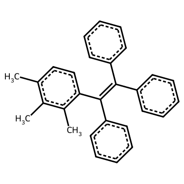 Cc1ccc(C(=C(c2ccccc2)c2ccccc2)c2ccccc2)c(C)c1C